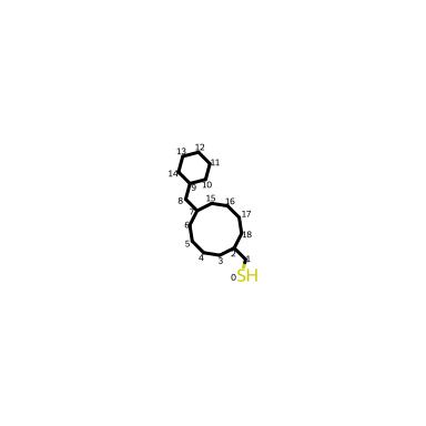 SCC1CCCCC(CC2CCCCC2)CCCC1